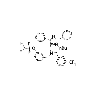 CCCCn1c(-c2ccccc2)nc(-c2ccccc2)c1CN(Cc1cccc(OC(F)(F)C(F)F)c1)Cc1cccc(C(F)(F)F)c1